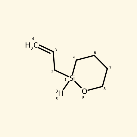 [2H][Si]1(CC=C)CCCCO1